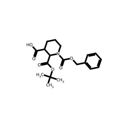 CC(C)(C)OC(=O)C1C(C(=O)O)CCCN1C(=O)OCc1ccccc1